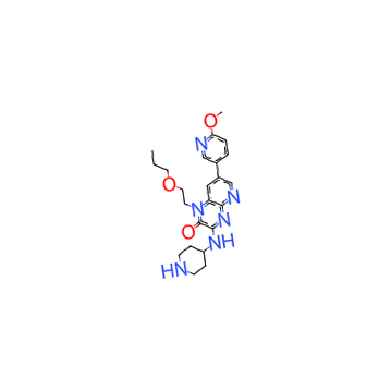 CCCOCCn1c(=O)c(NC2CCNCC2)nc2ncc(-c3ccc(OC)nc3)cc21